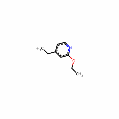 [CH2]Cc1ccnc(OCC)c1